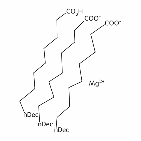 CCCCCCCCCCCCCCCCCC(=O)O.CCCCCCCCCCCCCCCCCC(=O)[O-].CCCCCCCCCCCCCCCCCC(=O)[O-].[Mg+2]